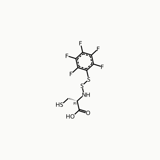 O=C(O)[C@H](CS)NSSc1c(F)c(F)c(F)c(F)c1F